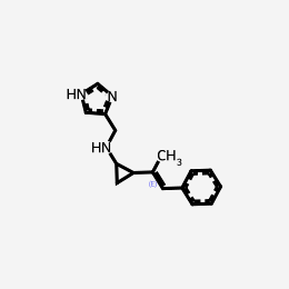 C/C(=C\c1ccccc1)C1CC1NCc1c[nH]cn1